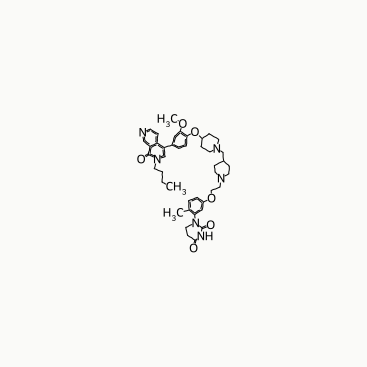 CCCCn1cc(-c2ccc(OC3CCN(CC4CCN(CCOc5ccc(C)c(N6CCC(=O)NC6=O)c5)CC4)CC3)c(OC)c2)c2ccncc2c1=O